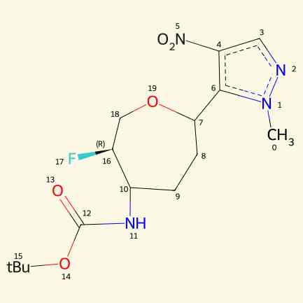 Cn1ncc([N+](=O)[O-])c1C1CCC(NC(=O)OC(C)(C)C)[C@@H](F)CO1